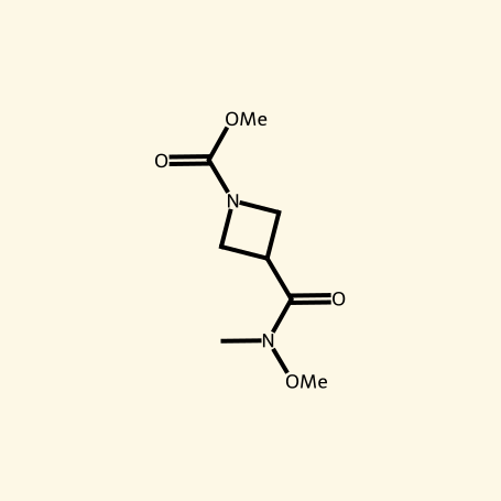 COC(=O)N1CC(C(=O)N(C)OC)C1